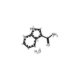 NC(=O)c1c[nH]c2ncccc12.O